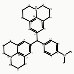 CN(C)c1ccc(C(c2cc3c4c(c2)CCCN4CCC3)c2cc3c4c(c2)CCCN4CCC3)cc1